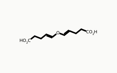 O=C(O)CCC=COC=CCCC(=O)O